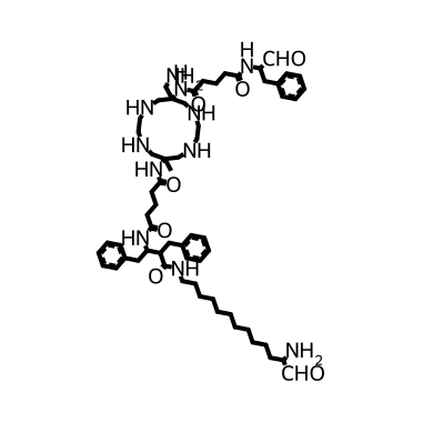 CC1(NC(=O)CCCC(=O)NC(Cc2ccccc2)C(Cc2ccccc2)C(=O)NCCCCCCCCCCCC(N)C=O)CNCCNCC(CN)(NC(=O)CCCC(=O)NC(C=O)Cc2ccccc2)CNCCNC1